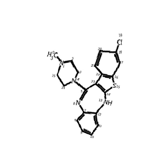 CN1CCN(C2=Nc3ccccc3Nc3sc4cc(Cl)ccc4c32)CC1